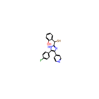 Oc1ccccc1C(S)c1nc(-c2ccncc2)c(-c2ccc(F)cc2)[nH]1